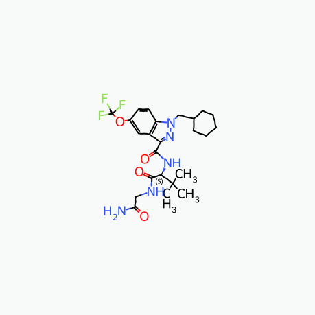 CC(C)(C)[C@H](NC(=O)c1nn(CC2CCCCC2)c2ccc(OC(F)(F)F)cc12)C(=O)NCC(N)=O